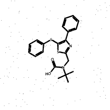 CC(C)(C)N(Cc1nc(-c2ccccc2)c(Sc2ccccc2)s1)C(=O)O